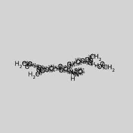 C=CC(=O)OCCCCOCC(COc1ccc(/C=C/C(=O)Cc2ccc(OC(=O)/C=C/c3ccc(OCC(COCCCCOC(=O)C=C)OC(=O)C=C)cc3)cc2/C=N/Nc2nc3ccccc3s2)cc1)OC(=O)C=C